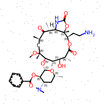 CO[C@]1(C)C[C@@H](C)C(=O)[C@H](C)[C@H]2NC(=O)O[C@]2(C)[C@@H](CCN)OC(=O)[C@H](C)[C@@H](O)[C@H](C)[C@H]1O[C@@H]1O[C@H](C)C[C@H](N(C)C)[C@H]1OC(=O)c1ccccc1